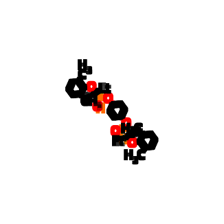 CCC(CC)(Oc1c(C)cccc1C)[PH](=O)Oc1ccc(O[PH](=O)C(CC)(CC)Oc2c(C)cccc2C)cc1